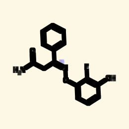 NC(=O)C/C(=N\Oc1cccc(O)c1F)c1ccccc1